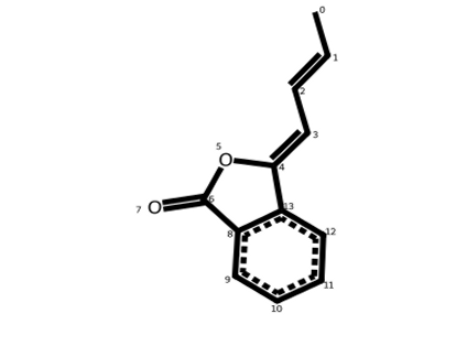 C/C=C/C=C1\OC(=O)c2ccccc21